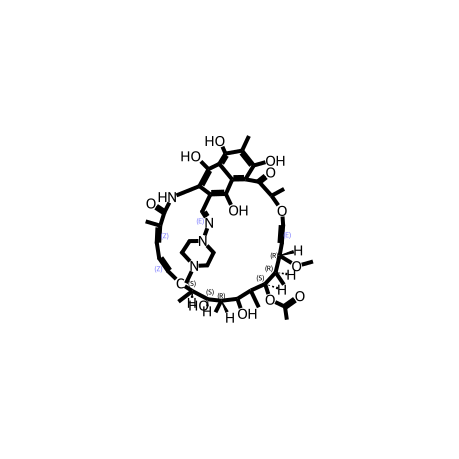 CO[C@H]1/C=C/OC(C)C(=O)c2c(O)c(C)c(O)c3c(O)c(c(/C=N/N4CCN(C)CC4)c(O)c23)NC(=O)/C(C)=C\C=C/C[C@H](C)[C@H](O)[C@@H](C)C(O)C(C)[C@H](OC(C)=O)[C@@H]1C